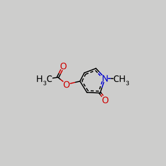 CC(=O)Oc1ccn(C)c(=O)c1